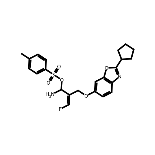 Cc1ccc(S(=O)(=O)OC(N)C(=CF)COc2ccc3nc(C4CCCC4)oc3c2)cc1